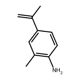 C=C(C)c1ccc(N)c(C)c1